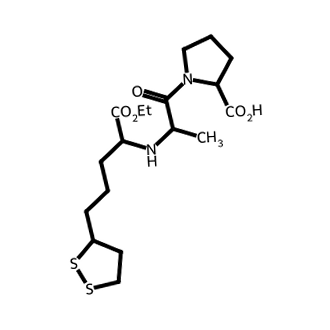 CCOC(=O)C(CCCC1CCSS1)NC(C)C(=O)N1CCCC1C(=O)O